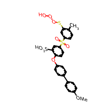 COc1ccc(-c2ccc(Oc3ccc(S(=O)(=O)c4ccc(C)c(SOOO)c4)cc3S(=O)(=O)O)cc2)cc1